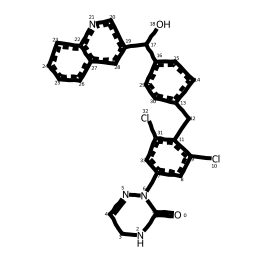 O=C1NCC=NN1c1cc(Cl)c(Cc2ccc(C(O)c3cnc4ccccc4c3)cc2)c(Cl)c1